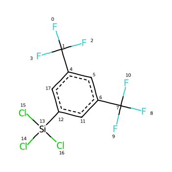 FC(F)(F)c1cc(C(F)(F)F)cc([Si](Cl)(Cl)Cl)c1